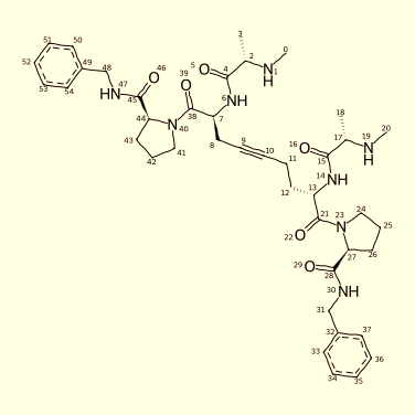 CN[C@@H](C)C(=O)N[C@@H](CC#CCC[C@H](NC(=O)[C@H](C)NC)C(=O)N1CCC[C@H]1C(=O)NCc1ccccc1)C(=O)N1CCC[C@H]1C(=O)NCc1ccccc1